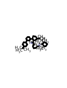 C/C(=N\c1c(C)cccc1C)c1cccc(/C(C)=N/c2c(-c3ccc(C(C)(C)C)cc3)cccc2-c2ccc(C(C)(C)C)cc2)n1